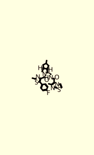 Cc1nc(C(=O)N2C[C@@H]3CC(C)C[C@@H]3[C@H]2CNC(=O)c2c(C)nc3sccn23)c(-c2ccc(F)cc2)s1